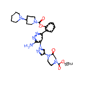 CC(C)(C)OC(=O)N1CCN(c2cnn(-c3cc(-c4ccccc4OC(=O)N4CCC(N5CCCCC5)CC4)nnc3N)c2)C(=O)C1